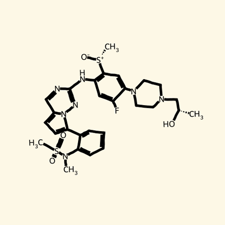 C[C@H](O)CN1CCN(c2cc([S@@+](C)[O-])c(Nc3ncc4ccc(-c5ccccc5N(C)S(C)(=O)=O)n4n3)cc2F)CC1